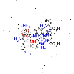 CC(C)C[C@H](N)C(=O)O.C[C@@H](N)C(=O)OC(=O)[C@@H](N)CCCCN.N[C@@H](Cc1c[nH]cn1)C(=O)O.N[C@H](CO)C(=O)O.N[C@H](Cc1c[nH]c2ccccc12)C(=O)O